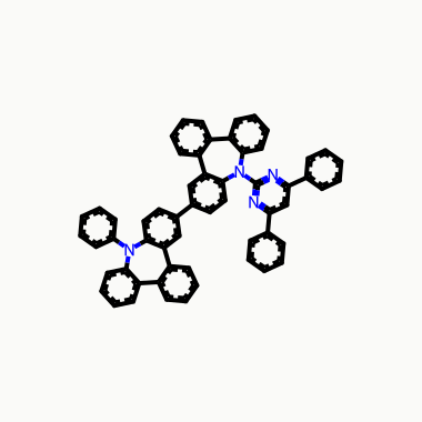 c1ccc(-c2cc(-c3ccccc3)nc(N3c4ccccc4-c4ccccc4-c4cc(-c5ccc6c(c5)-c5ccccc5-c5ccccc5N6c5ccccc5)ccc43)n2)cc1